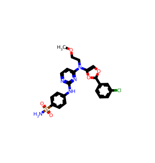 COCCN(C1=COC(c2cccc(Cl)c2)O1)c1ccnc(Nc2ccc(S(N)(=O)=O)cc2)n1